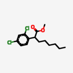 CCCCCCC(C(=O)OC)c1ccc(Cl)cc1Cl